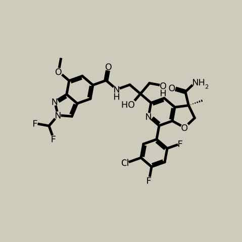 COc1cc(C(=O)NCC(O)(CO)c2cc3c(c(-c4cc(Cl)c(F)cc4F)n2)OC[C@]3(C)C(N)=O)cc2cn(C(F)F)nc12